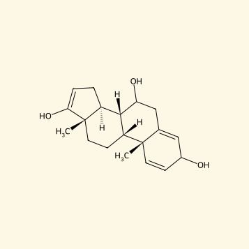 C[C@]12C=CC(O)C=C1CC(O)[C@@H]1[C@H]2CC[C@]2(C)C(O)=CC[C@@H]12